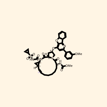 COC(=O)N[C@H]1CCCCC/C=C\[C@@H]2C[C@@]2(C(=O)NS(=O)(=O)C2CC2)NC(=O)[C@@H]2C[C@@H](Oc3cc(-c4cccc(OC)c4)nc4c3OC3C=CC=CC43)CN2C1=O